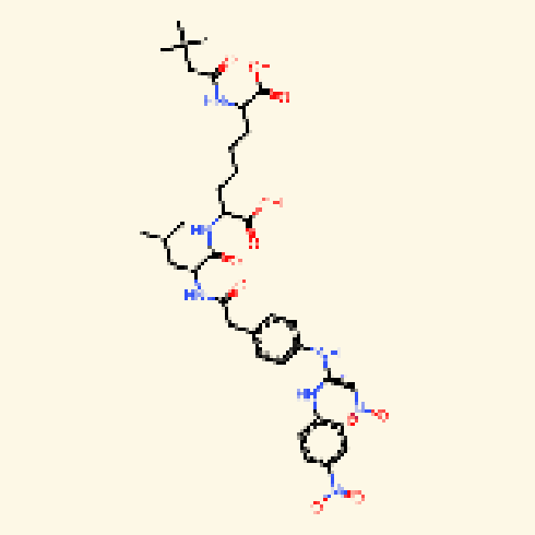 CC(C)CC(NC(=O)Cc1ccc(N/C(=C/[N+](=O)[O-])Nc2ccc([N+](=O)[O-])cc2)cc1)C(=O)NC(CCCCC(NC(=O)CC(C)(C)C)C(=O)O)C(=O)O